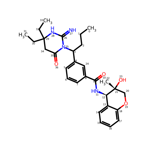 CCCC(c1cccc(C(=O)N[C@@H]2c3ccccc3OC[C@@]2(C)O)c1)N1C(=N)NC(CC)(CC)CC1=O